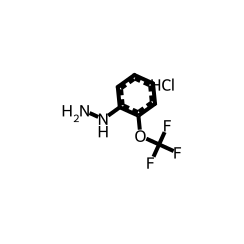 Cl.NNc1ccccc1OC(F)(F)F